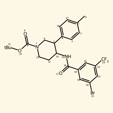 Cc1ccc(C2CN(C(=O)OC(C)(C)C)CCC2NC(=O)c2cc(Br)cc(C(F)(F)F)c2)cc1